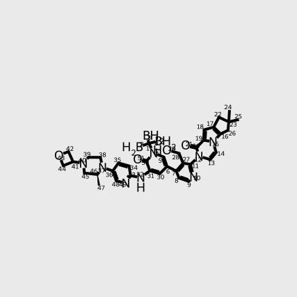 BC(B)(B)n1cc(-c2ccnc(-n3ccn4c5c(cc4c3=O)CC(C)(C)C5)c2CO)cc(Nc2ccc(N3CCN(C4COC4)C[C@@H]3C)cn2)c1=O